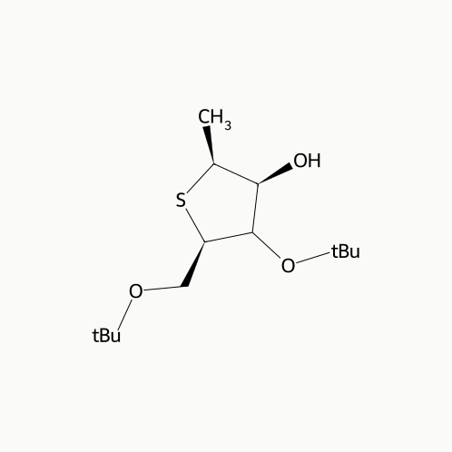 C[C@@H]1S[C@H](COC(C)(C)C)C(OC(C)(C)C)[C@@H]1O